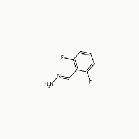 NN=Cc1c(F)cccc1F